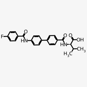 CC(C)[C@@H](NC(=O)c1ccc(-c2ccc(NC(=O)c3ccc(F)cc3)cc2)cc1)C(=O)O